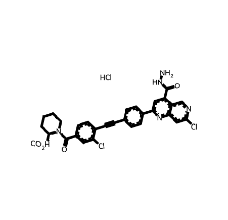 Cl.NNC(=O)c1cc(-c2ccc(C#Cc3ccc(C(=O)N4CCCCC4C(=O)O)cc3Cl)cc2)nc2cc(Cl)ncc12